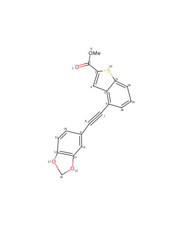 COC(=O)c1cc2c(C#Cc3ccc4c(c3)OCO4)cccc2s1